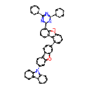 c1ccc(-c2nc(-c3ccccc3)nc(-c3cccc4c3oc3cccc(-c5ccc6c(c5)oc5cc(-n7c8ccccc8c8ccccc87)ccc56)c34)n2)cc1